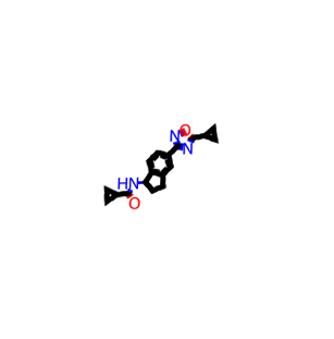 O=C(N[C@@H]1CCc2cc(-c3noc(C4CC4)n3)ccc21)C1CC1